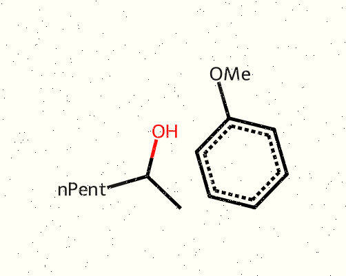 CCCCCC(C)O.COc1ccccc1